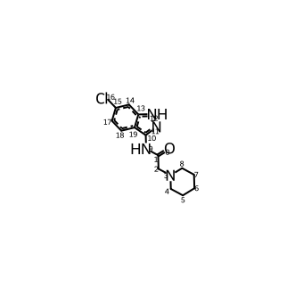 O=C(CN1CCCCC1)Nc1n[nH]c2cc(Cl)ccc12